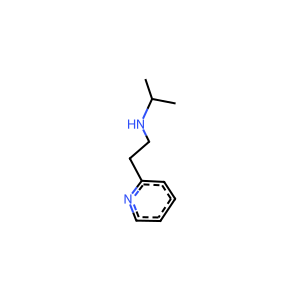 CC(C)NCCc1ccccn1